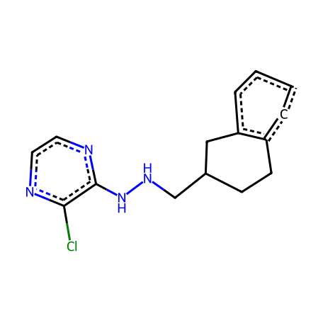 Clc1nccnc1NNCC1CCc2ccccc2C1